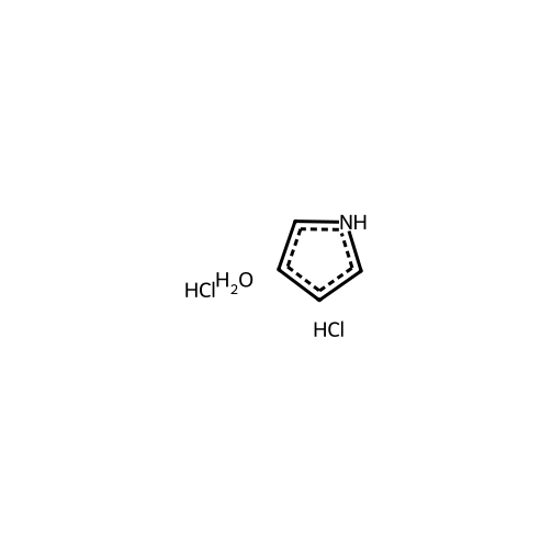 Cl.Cl.O.c1cc[nH]c1